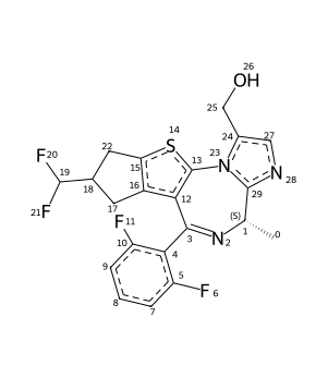 C[C@@H]1N=C(c2c(F)cccc2F)c2c(sc3c2CC(C(F)F)C3)-n2c(CO)cnc21